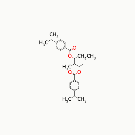 CCCC(OC(=O)c1ccc(C(C)C)cc1)C(C)C(C)OC(=O)c1ccc(C(C)C)cc1